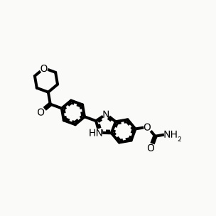 NC(=O)Oc1ccc2[nH]c(-c3ccc(C(=O)C4CCOCC4)cc3)nc2c1